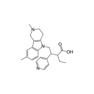 CCC(C(=O)O)C(Cn1c2c(c3cc(C)ccc31)CN(C)CC2)c1ccncc1